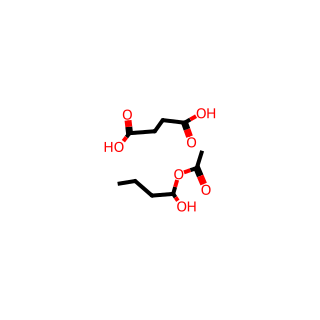 CCCC(O)OC(C)=O.O=C(O)CCC(=O)O